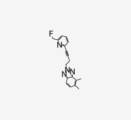 Cc1ccc2nn(CCC#Cc3cccc(CF)n3)nc2c1C